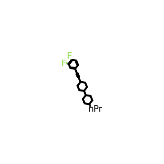 CCCC1CCC(C2CCC(C#Cc3ccc(F)c(F)c3)CC2)CC1